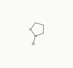 ClN1CCCO1